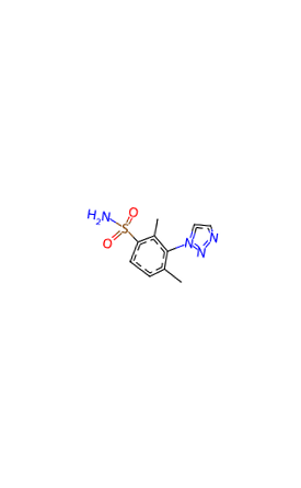 Cc1ccc(S(N)(=O)=O)c(C)c1-n1ccnn1